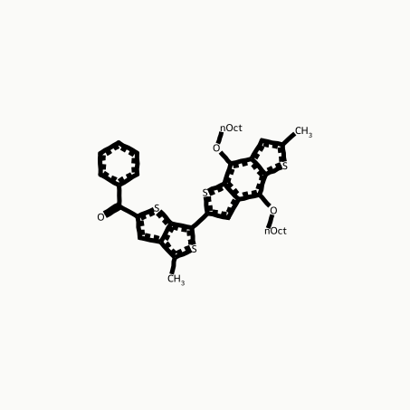 CCCCCCCCOc1c2cc(-c3sc(C)c4cc(C(=O)c5ccccc5)sc34)sc2c(OCCCCCCCC)c2cc(C)sc12